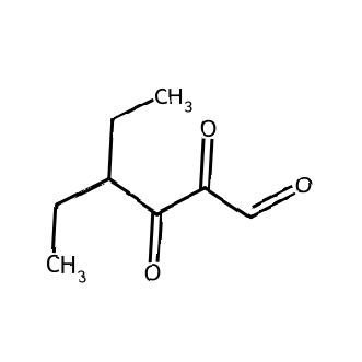 CCC(CC)C(=O)C(=O)C=O